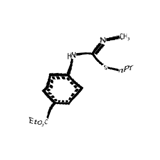 CCCS/C(=N\C)Nc1ccc(C(=O)OCC)cc1